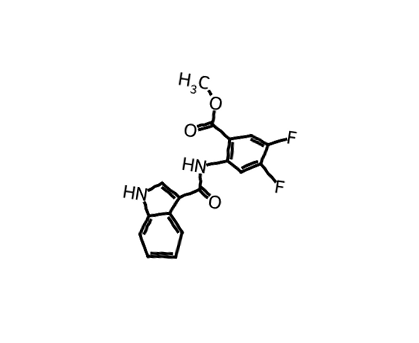 COC(=O)c1cc(F)c(F)cc1NC(=O)c1c[nH]c2ccccc12